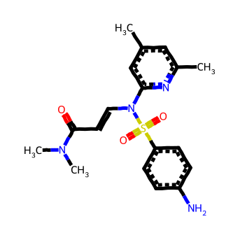 Cc1cc(C)nc(N(C=CC(=O)N(C)C)S(=O)(=O)c2ccc(N)cc2)c1